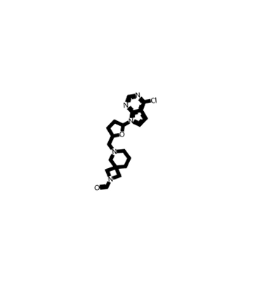 O=CN1CC2(CCCN(CC3CCC(n4ccc5c(Cl)ncnc54)O3)C2)C1